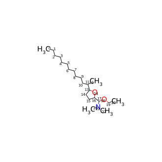 CCCCCCCCCCCC(C)C1CCC(C(OCC)N(C)C)O1